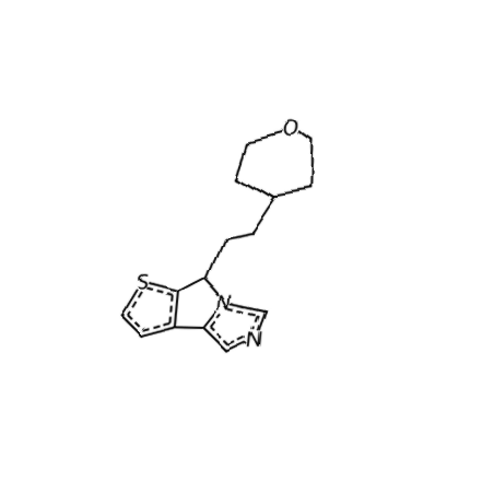 c1cc2c(s1)C(CCC1CCOCC1)n1cncc1-2